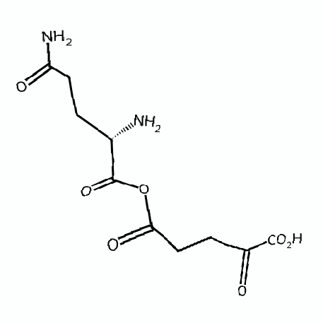 NC(=O)CC[C@H](N)C(=O)OC(=O)CCC(=O)C(=O)O